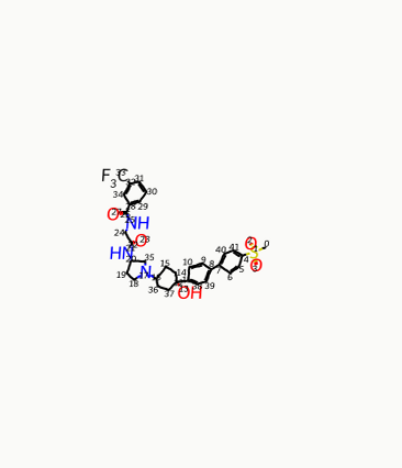 CS(=O)(=O)c1ccc(-c2ccc(C3(O)CCC(N4CCC(NC(=O)CNC(=O)c5cccc(C(F)(F)F)c5)C4)CC3)cc2)cc1